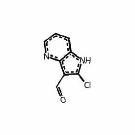 O=Cc1c(Cl)[nH]c2cccnc12